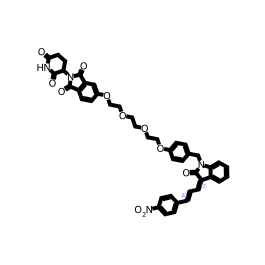 O=C1CCC(N2C(=O)c3ccc(OCCOCCOCCOc4ccc(CN5C(=O)/C(=C\C=C\c6ccc([N+](=O)[O-])cc6)c6ccccc65)cc4)cc3C2=O)C(=O)N1